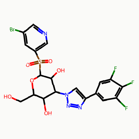 O=S(=O)(c1cncc(Br)c1)C1OC(CO)C(O)C(n2cc(-c3cc(F)c(F)c(F)c3)nn2)C1O